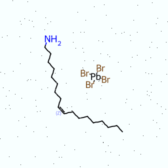 CCCCCCCC/C=C\CCCCCCCCN.[Br][Pb]([Br])([Br])[Br]